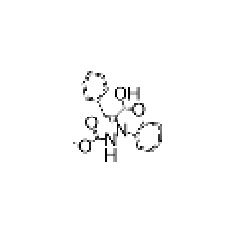 COC(=O)NN(c1ccccc1)[C@@H](Cc1ccccc1)C(=O)O